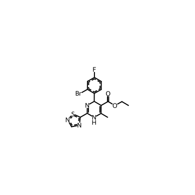 CCOC(=O)C1=C(C)NC(c2ncns2)=NC1c1ccc(F)cc1Br